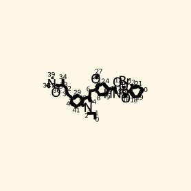 CCCn1cc(Cc2ccc(C(=O)NS(=O)(=O)c3ccccc3Br)cc2OC)c2cc(CCC(C)C(=O)N(C)C)ccc21